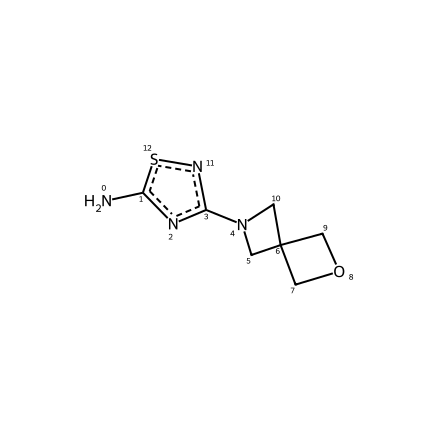 Nc1nc(N2CC3(COC3)C2)ns1